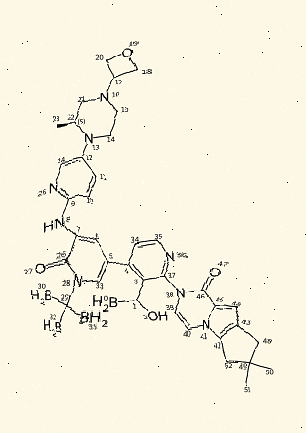 BC(O)c1c(-c2cc(Nc3ccc(N4CCN(C5COC5)C[C@@H]4C)cn3)c(=O)n(C(B)(B)B)c2)ccnc1-n1ccn2c3c(cc2c1=O)CC(C)(C)C3